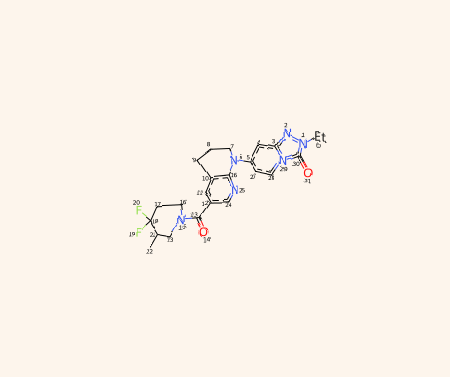 CCn1nc2cc(N3CCCc4cc(C(=O)N5CCC(F)(F)C(C)C5)cnc43)ccn2c1=O